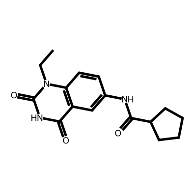 CCn1c(=O)[nH]c(=O)c2cc(NC(=O)C3CCCC3)ccc21